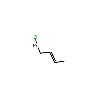 CC=C[CH2][Pd][Cl]